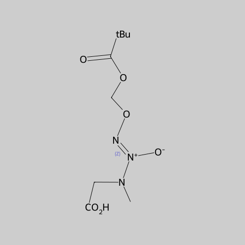 CN(CC(=O)O)/[N+]([O-])=N/OCOC(=O)C(C)(C)C